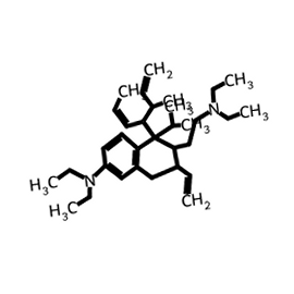 C=CC(C)C(/C=C\C)C1(C(C)C)c2ccc(N(CC)CC)cc2CC(C=C)C1CCN(CC)CC